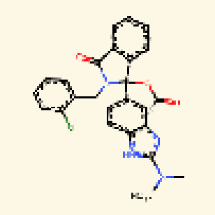 CN(C(=O)O)c1nc2cc(C3(OC(=O)C(F)(F)F)c4ccccc4C(=O)N3Cc3ccccc3Cl)ccc2[nH]1